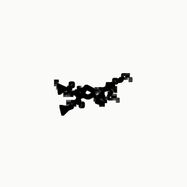 Cn1nc(OCC(F)(F)F)cc1Nc1nncn1[C@H]1CCc2sc(NC(=O)[C@H]3C[C@@H]3F)c(C(=O)NCC3CC3)c2C1